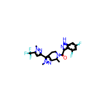 CC1c2nn(C)c(-c3cc(C(F)(F)F)n(C)n3)c2CCN1C(=O)c1n[nH]c2cc(F)cc(F)c12